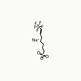 O=S(=O)([O-])CCCCCC=CS(F)(F)(F)(F)F.[Na+]